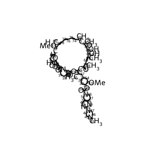 CO[C@H]1C[C@@H]2CC[C@@H](C)[C@@](O)(O2)C(=O)C(=O)N2CCCC[C@H]2C(=O)O[C@H]([C@H](C)C[C@@H]2CC[C@@H](OC(=O)N3CCc4nc(N5CCN(C)CC5)ncc4C3)[C@H](OC)C2)CC(=O)[C@H](C)/C=C(\C)[C@@H](O)[C@@H](O)C(=O)C(C)C[C@H](C)/C=C/C=C/C=C/1C